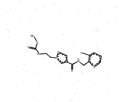 CC(C)(C)OC(=O)NCCn1cc(C(=O)NCc2ncccc2Cl)cn1